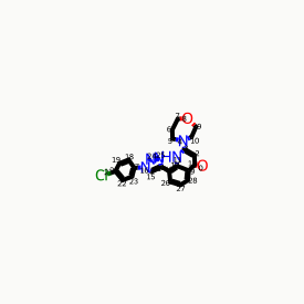 O=c1cc(N2CCCOCC2)[nH]c2c(-c3cn(-c4ccc(Cl)cc4)nn3)cccc12